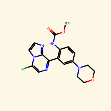 CC(C)(C)OC(=O)Nc1ccc(N2CCOCC2)cc1-c1ncc(Br)n2ccnc12